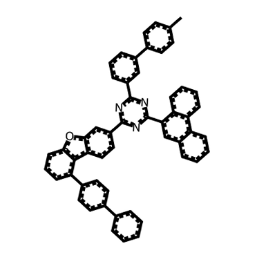 Cc1ccc(-c2cccc(-c3nc(-c4ccc5c(c4)oc4cccc(-c6ccc(-c7ccccc7)cc6)c45)nc(-c4cc5ccccc5c5ccccc45)n3)c2)cc1